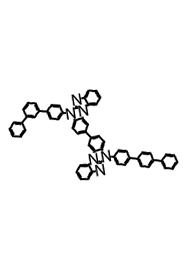 c1ccc(-c2ccc(-c3ccc(-n4c5ccc(-c6ccc7c(c6)n6c8ccccc8nc6n7-c6ccc(-c7cccc(-c8ccccc8)c7)cc6)cc5n5c6ccccc6nc45)cc3)cc2)cc1